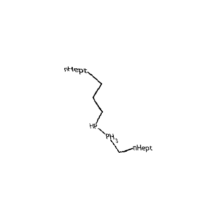 CCCCCCCCCCP[PH3]CCCCCCCC